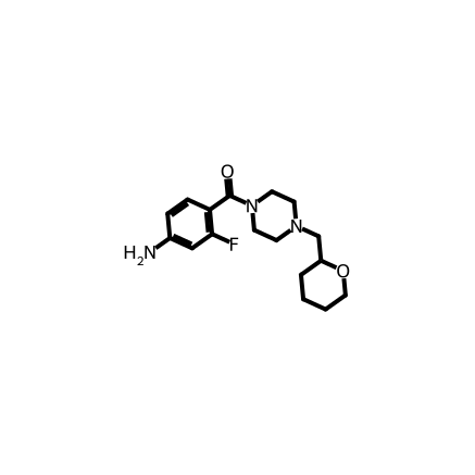 Nc1ccc(C(=O)N2CCN(CC3CCCCO3)CC2)c(F)c1